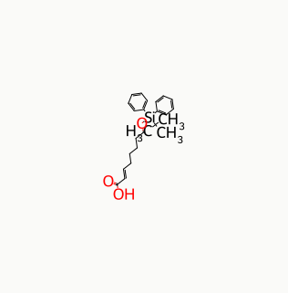 CC(C)(C)[Si](OCCCCC/C=C/C(=O)O)(c1ccccc1)c1ccccc1